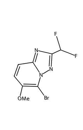 COc1ccc2nc(C(F)F)nn2c1Br